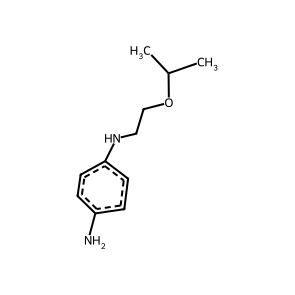 CC(C)OCCNc1ccc(N)cc1